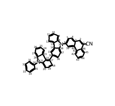 N#Cc1cc2ccc(-n3c4ccccc4c4cc(-c5cccc6c5c5ccccc5n6-c5ccccc5)ccc43)cc2c2ccccc12